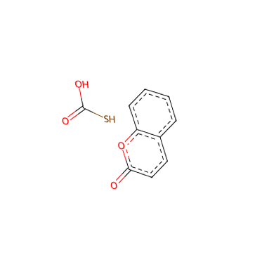 O=C(O)S.O=c1ccc2ccccc2o1